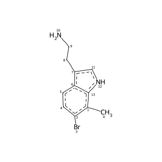 Cc1c(Br)ccc2c(CCN)c[nH]c12